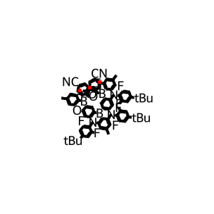 Cc1cc2c3c(c1)Sc1c(oc4ccc(C#N)cc14)B3c1cc3c(cc1O2)N(c1c(F)cc(C(C)(C)C)cc1F)c1cc(C)cc2c1B3c1cc3c(cc1N2c1c(F)cc(C(C)(C)C)cc1F)N(c1c(F)cc(C(C)(C)C)cc1F)c1cc(C)cc2c1B3c1oc3ccc(C#N)cc3c1S2